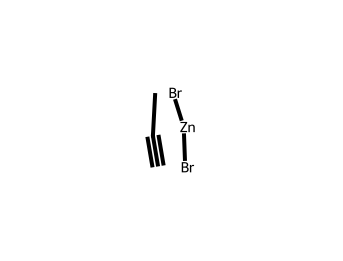 C#CC.[Br][Zn][Br]